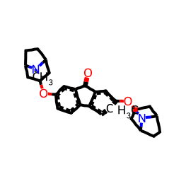 CN1C2CCC1CC(Oc1ccc3c(c1)C(=O)c1cc(OC4CC5CCC(C4)N5C)ccc1-3)C2